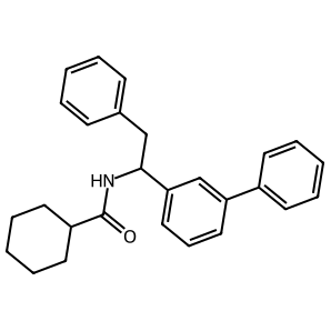 O=C(NC(Cc1ccccc1)c1cccc(-c2ccccc2)c1)C1CCCCC1